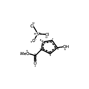 COC(=O)c1cc(O)cs1.[O-][S+](Cl)Cl